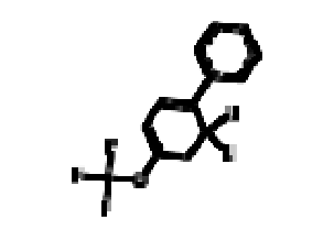 [Li][C]1([Li])CC(OC(F)(F)F)=CC=C1c1ccccc1